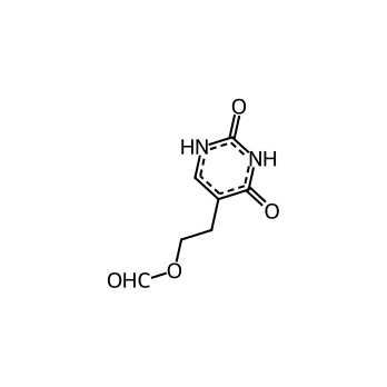 O=COCCc1c[nH]c(=O)[nH]c1=O